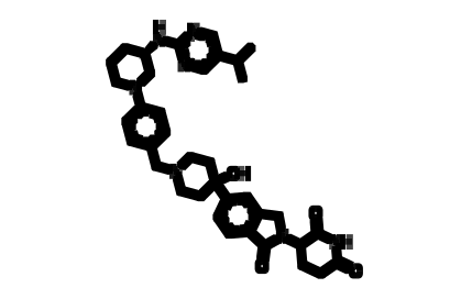 CC(C)c1cnc(N[C@@H]2CCCN(c3ccc(CN4CCC(O)(c5ccc6c(c5)CN(C5CCC(=O)NC5=O)C6=O)CC4)cc3)C2)nc1